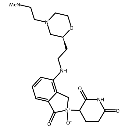 CNCCN1CCO[C@@H](CCNc2cccc3c2C[N+]([O-])(C2CCC(=O)NC2=O)C3=O)C1